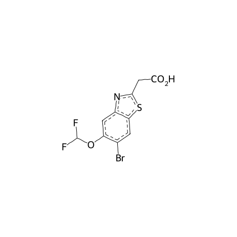 O=C(O)Cc1nc2cc(OC(F)F)c(Br)cc2s1